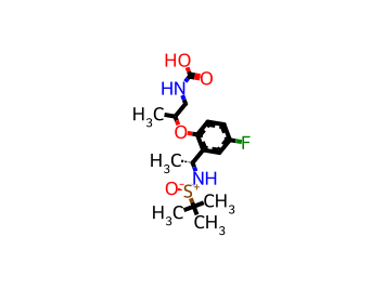 CC(CNC(=O)O)Oc1ccc(F)cc1[C@@H](C)N[S@@+]([O-])C(C)(C)C